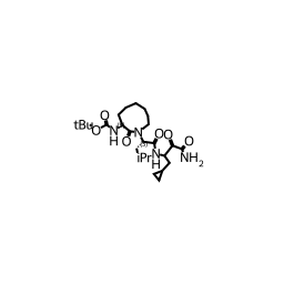 CC(C)C[C@@H](C(=O)NC(CC1CC1)C(=O)C(N)=O)N1CCCCCC[C@H](NC(=O)OC(C)(C)C)C1=O